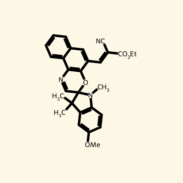 CCOC(=O)C(C#N)=Cc1cc2ccccc2c2c1OC1(C=N2)N(C)c2ccc(OC)cc2C1(C)C